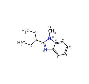 CCC(CC)c1nc2ccccc2n1C